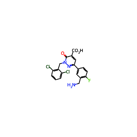 NCc1cc(-c2cc(C(=O)O)c(=O)n(Cc3c(Cl)cccc3Cl)n2)ccc1F